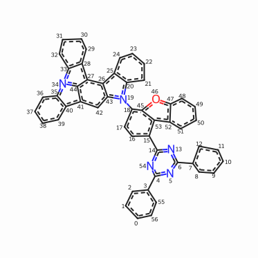 c1ccc(-c2nc(-c3ccccc3)nc(-c3ccc(-n4c5ccccc5c5c6c7ccccc7n7c8ccccc8c(cc54)c67)c4oc5ccccc5c34)n2)cc1